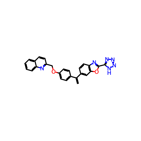 C=C(c1ccc(OCc2ccc3ccccc3n2)cc1)c1ccc2nc(-c3nnn[nH]3)oc2c1